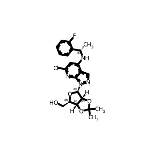 C[C@H](Nc1cc(Cl)nc2c1cnn2[C@@H]1O[C@H](CO)[C@H]2OC(C)(C)O[C@H]21)c1ccccc1F